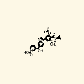 COc1cc(-c2cnc3cc(C(O)[C@@H]4CCCN(C(=O)O)C4)ccn23)cc(OC(F)F)c1C(=O)NC1CC1